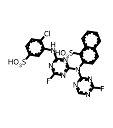 O=S(=O)(O)c1ccc(Cl)c(Nc2nc(F)nc(N(c3ncnc(F)n3)c3ccc4ccccc4c3S(=O)(=O)O)n2)c1